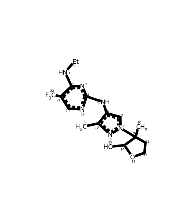 CCNc1nc(Nc2cn(C3(C)CCOC3O)nc2C)ncc1C(F)(F)F